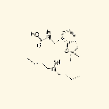 CC1(C)Cc2cccc(CNC(=O)O)c2O1.CCCCN(S)CCCC